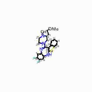 COCC[C@H]1CN(C2=Nc3cc(F)c(F)cc3Nc3sc4ccccc4c32)CCN1C